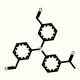 CC(=O)c1cccc(P(c2cccc(C=O)c2)c2cccc(C=O)c2)c1